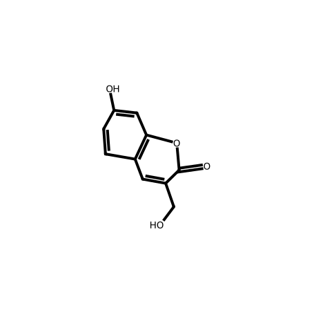 O=c1oc2cc(O)ccc2cc1CO